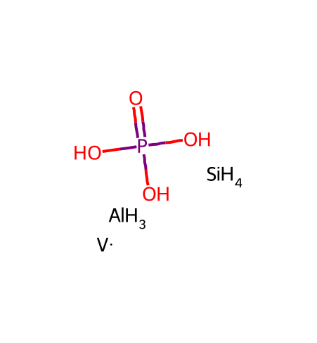 O=P(O)(O)O.[AlH3].[SiH4].[V]